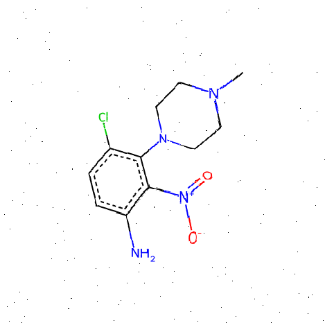 CN1CCN(c2c(Cl)ccc(N)c2[N+](=O)[O-])CC1